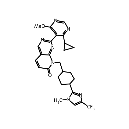 COc1ncnc(C2CC2)c1-c1ncc2ccc(=O)n(CC3CCC(c4nc(C(F)(F)F)cn4C)CC3)c2n1